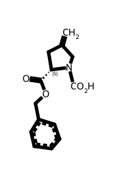 C=C1C[C@@H](C(=O)OCc2ccccc2)N(C(=O)O)C1